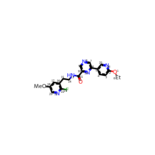 CCOc1ccc(-c2cncc(C(=O)NCCc3cc(OC)cnc3F)n2)cn1